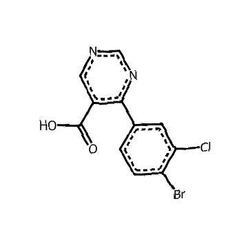 O=C(O)c1cncnc1-c1ccc(Br)c(Cl)c1